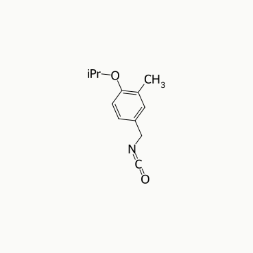 Cc1cc(CN=C=O)ccc1OC(C)C